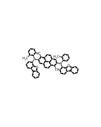 Cc1ccccc1N(c1cc2ccc3c(C#N)c(N(c4ccccc4C)c4cccc5c4oc4ccccc45)cc4ccc(c1C#N)c2c43)c1cccc2c1oc1ccccc12